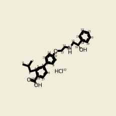 CC(C)Cc1cc(-c2ccc(OCCNC[C@@H](O)c3ccccc3)cc2)ccc1C(=O)O.Cl